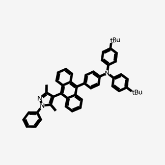 Cc1nn(-c2ccccc2)c(C)c1-c1c2ccccc2c(-c2ccc(N(c3ccc(C(C)(C)C)cc3)c3ccc(C(C)(C)C)cc3)cc2)c2ccccc12